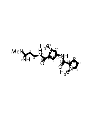 CNC(=N)CCNC(=O)c1cc(NC(=O)c2cccn2C)cn1C